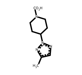 Cc1cnn(C2CCN(C(=O)O)CC2)n1